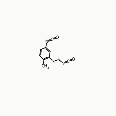 Cc1ccc(N=C=O)cc1SSN=C=O